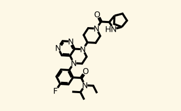 CCN(C(=O)c1cc(F)ccc1N1CCN(C2CCN(C(=O)C3NC4CCC3C4)CC2)c2ncncc21)C(C)C